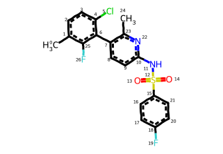 Cc1ccc(Cl)c(-c2ccc(NS(=O)(=O)c3ccc(F)cc3)nc2C)c1F